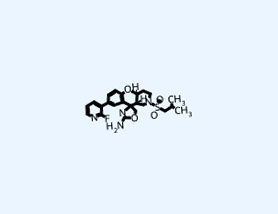 CC(C)CS(=O)(=O)N1CC[C@@H]2Oc3ccc(-c4cccnc4F)cc3C3(COC(N)=N3)[C@H]2C1